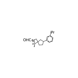 CC(C)c1cccc(C2CCC3(C2)CN(C=O)[C@@H]3C)c1